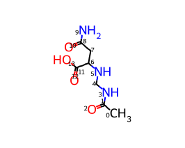 CC(=O)NCNC(CC(N)=O)C(=O)O